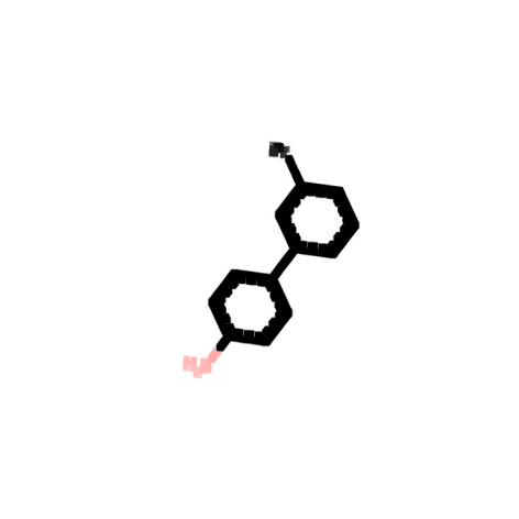 Bc1ccc(-c2cccc(C(C)C)c2)cc1